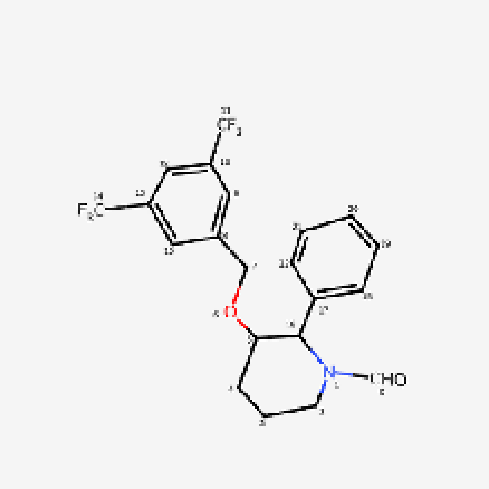 O=CN1CCCC(OCc2cc(C(F)(F)F)cc(C(F)(F)F)c2)C1c1ccccc1